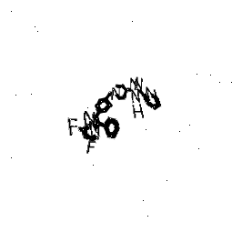 Fc1cc(F)c2nc(-c3ccc(CN4CCC(c5nnc(-c6ccccn6)[nH]5)CC4)cc3)c(-c3ccccc3)n2c1